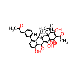 CC(=O)Cc1cccc(-c2ccc(O)c3c2C[C@]2(C)C[C@]4(C)C(C(C)C)C(O)=C(C(C)=O)C(=O)[C@]4(O)C(O)=C2C3=O)c1